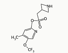 Cc1cc(OS(=O)(=O)CC2CNC2)ncc1OC(F)(F)F